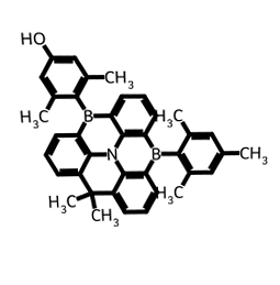 Cc1cc(C)c(B2c3cccc4c3N3c5c2cccc5C(C)(C)c2cccc(c23)B4c2c(C)cc(O)cc2C)c(C)c1